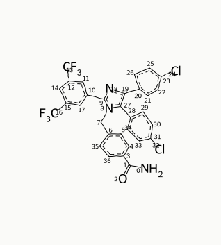 NC(=O)c1ccc(Cn2c(-c3cc(C(F)(F)F)cc(C(F)(F)F)c3)nc(-c3ccc(Cl)cc3)c2-c2ccc(Cl)cc2)cc1